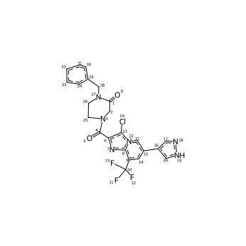 O=C1CN(C(=O)c2nc3c(C(F)(F)F)cc(-c4cn[nH]c4)cn3c2Cl)CCN1Cc1ccccc1